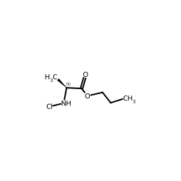 CCCOC(=O)[C@H](C)NCl